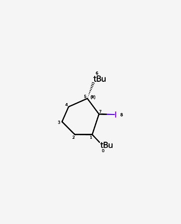 CC(C)(C)C1CCC[C@H](C(C)(C)C)C1I